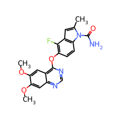 COc1cc2ncnc(Oc3ccc4c(cc(C)n4C(N)=O)c3F)c2cc1OC